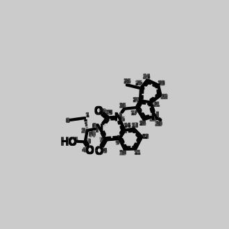 CC[C@@H](C(=O)O)n1c(=O)c2ccccc2n(Cc2cn(C)c3cccc(C)c23)c1=O